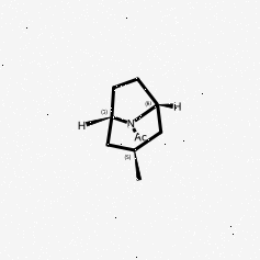 CC(=O)N1[C@@H]2CC[C@H]1C[C@H](C)C2